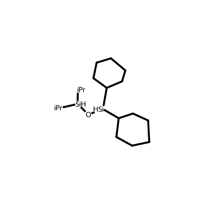 CC(C)[SiH](O[SiH](C1CCCCC1)C1CCCCC1)C(C)C